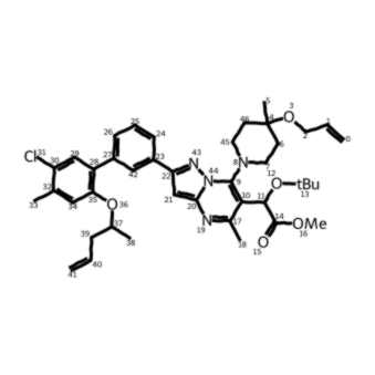 C=CCOC1(C)CCN(c2c(C(OC(C)(C)C)C(=O)OC)c(C)nc3cc(-c4cccc(-c5cc(Cl)c(C)cc5OC(C)CC=C)c4)nn23)CC1